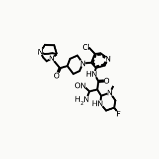 CN1CC(F)CNC1C(C(=O)Nc1cncc(Cl)c1N1CCC(C(=O)N2CCN3CCC2CC3)CC1)C(N)N=O